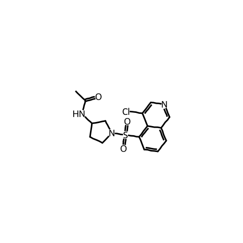 CC(=O)NC1CCN(S(=O)(=O)c2cccc3cncc(Cl)c23)C1